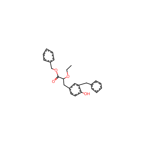 CCOC(Cc1ccc(O)c(Cc2ccccc2)c1)C(=O)OCc1ccccc1